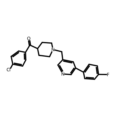 O=C(c1ccc(Cl)cc1)C1CCN(Cc2cncc(-c3ccc(F)cc3)c2)CC1